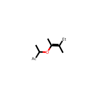 CC/C(C)=C(\C)OC(C)C(C)=O